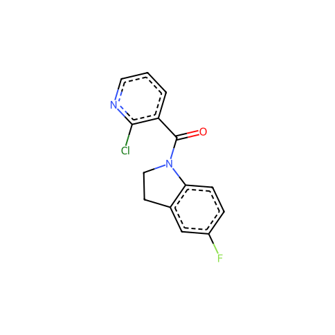 O=C(c1cccnc1Cl)N1CCc2cc(F)ccc21